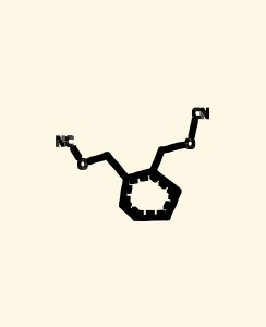 N#COCc1ccccc1COC#N